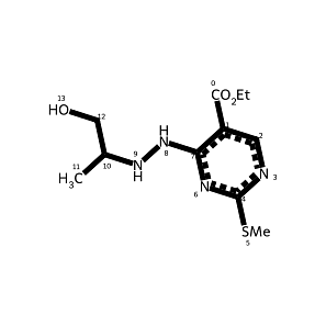 CCOC(=O)c1cnc(SC)nc1NNC(C)CO